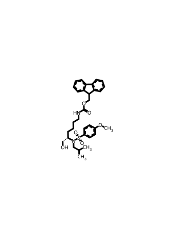 COc1ccc(S(=O)(=O)N(CC(C)C)[C@H](CO)CCCCNC(=O)OCC2c3ccccc3-c3ccccc32)cc1